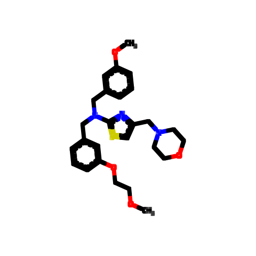 COCCOc1cccc(CN(Cc2cccc(OC)c2)c2nc(CN3CCOCC3)cs2)c1